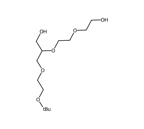 CC(C)(C)OCCOCC(CO)OCCOCCO